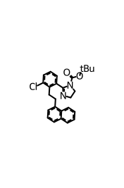 CC(C)(C)OC(=O)N1CCN=C1c1cccc(Cl)c1CCc1cccc2ccccc12